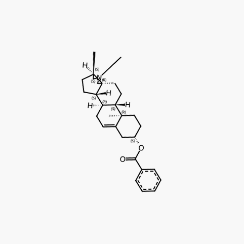 C[C@H]1[C@H]2CC[C@H]3[C@@H]4CC=C5C[C@@H](OC(=O)c6ccccc6)CC[C@]5(C)[C@H]4CC[C@]23CN1C